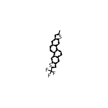 Cc1cc2cc3ccc4c5cc6sc(C(F)(F)F)cc6cc5ccc4c3cc2s1